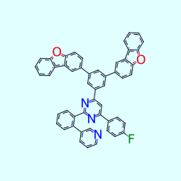 Fc1ccc(-c2cc(-c3cc(-c4ccc5oc6ccccc6c5c4)cc(-c4ccc5oc6ccccc6c5c4)c3)nc(-c3ccccc3-c3cccnc3)n2)cc1